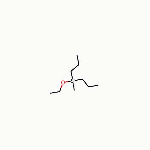 CCC[Si](C)(CCC)OCC